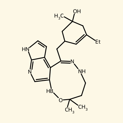 CCC1=CC(C/C2=N/NCCC(C)(C)OBc3cnc4[nH]ccc4c32)CC(C)(O)C1